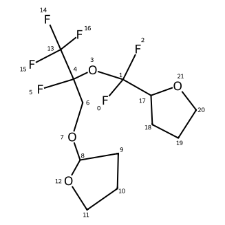 FC(F)(OC(F)(COC1CCCO1)C(F)(F)F)C1CCCO1